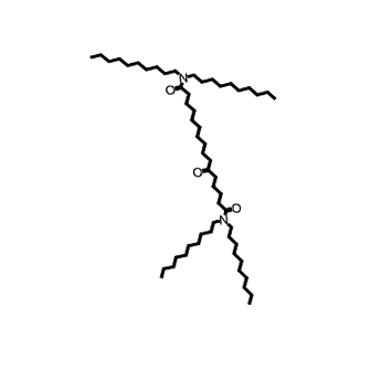 CCCCCCCCCCN(CCCCCCCCCC)C(=O)CCCCCCCCCC(=O)CCCCC(=O)N(CCCCCCCCCC)CCCCCCCCCC